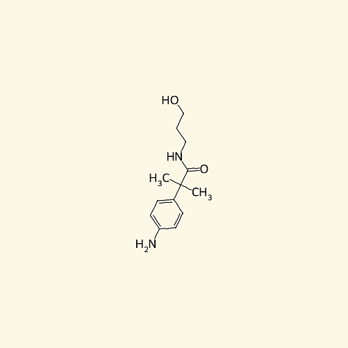 CC(C)(C(=O)NCCCO)c1ccc(N)cc1